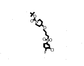 CC(C)(C)OC(=O)N1CCC(OCCCCS(=O)(=O)c2ccc(F)c(Cl)c2)CC1